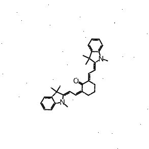 CN1C(=CC=C2CCCC(=CC=C3N(C)c4ccccc4C3(C)C)C2=O)C(C)(C)c2ccccc21